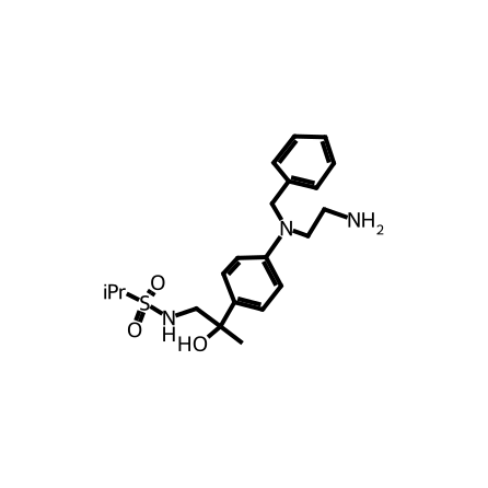 CC(C)S(=O)(=O)NCC(C)(O)c1ccc(N(CCN)Cc2ccccc2)cc1